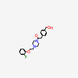 O=C(Cc1ccc(CO)cc1)N1CCN(CCOc2ccccc2F)CC1